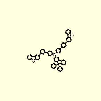 c1ccc(C2(c3ccccc3)c3ccccc3-c3cc(N(c4ccc(-c5ccc(-c6ccc7oc8ccccc8c7c6)cc5)cc4)c4ccc(-c5cccc(-c6ccc7oc8ccccc8c7c6)c5)cc4)ccc32)cc1